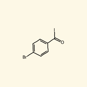 O=C(I)c1ccc(Br)cc1